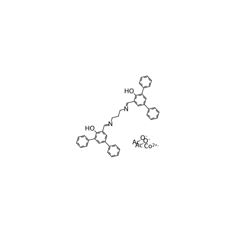 CC(=O)[O-].CC(=O)[O-].Oc1c(C=NCCCN=Cc2cc(-c3ccccc3)cc(-c3ccccc3)c2O)cc(-c2ccccc2)cc1-c1ccccc1.[Co+2]